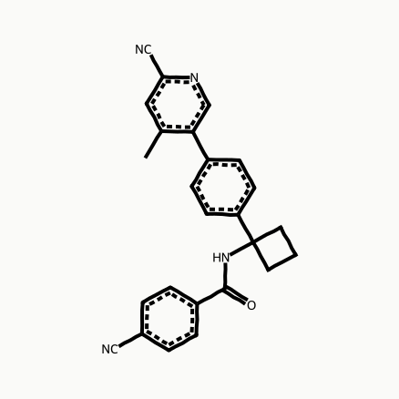 Cc1cc(C#N)ncc1-c1ccc(C2(NC(=O)c3ccc(C#N)cc3)CCC2)cc1